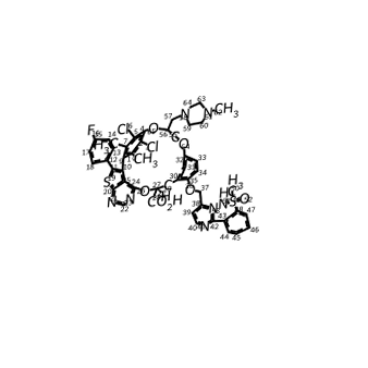 Cc1c(Cl)c2c(Cl)c(C)c1-c1c(-c3ccc(F)cc3)sc3ncnc(c13)O[C@@H](C(=O)O)Cc1cc(ccc1OCc1ccnc(-c3ccccc3S(C)(=N)=O)n1)OCC(CN1CCN(C)CC1)O2